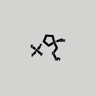 CCCOC[N+]1(C(C)(C)C)CCCC1.[F][Al-]([F])([F])[F]